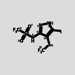 Cc1[nH]nc(NS(=O)(=O)C(F)(F)F)c1SC(F)(F)F